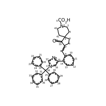 O=C(O)N1CCC2(CC/C(=C\c3ccccc3-c3cn(C(c4ccccc4)(c4ccccc4)c4ccccc4)cn3)C2=O)CC1